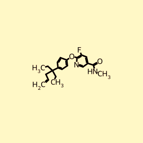 C=CCC(CC)(CC)c1ccc(Oc2ncc(C(=O)NC)cc2F)cc1